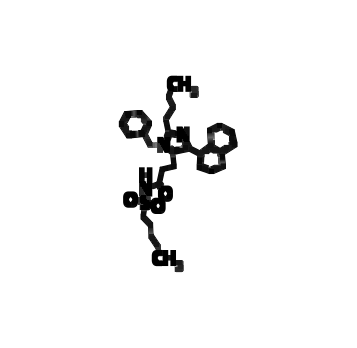 CCCCCS(=O)(=O)NC(=O)CCc1c(-c2cccc3ccccc23)nc(CCCC)n1Cc1ccccc1